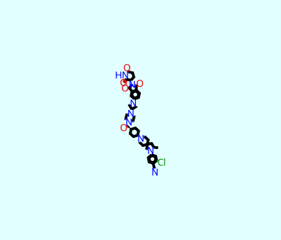 CC1CC2(CCN([C@H]3CC[C@H](C(=O)N4CCN(C5CN(c6ccc7c(c6)C(=O)N(C6CCC(=O)NC6=O)C7=O)C5)CC4)CC3)CC2)CN1c1ccc(C#N)c(Cl)c1